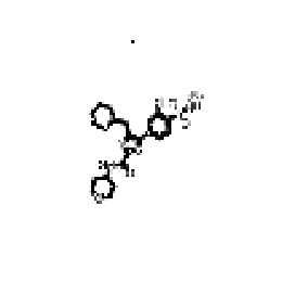 CC(C)(C)NS(=O)(=O)c1ccc(-c2sc(C(=O)NC3CCOCC3)nc2CC2CCCCC2)cc1Cl